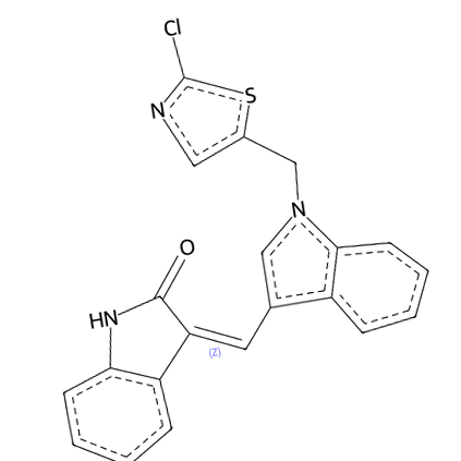 O=C1Nc2ccccc2/C1=C/c1cn(Cc2cnc(Cl)s2)c2ccccc12